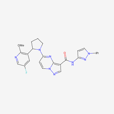 COc1ncc(F)cc1C1CCCN1c1ccn2ncc(C(=O)Nc3ccn(C(C)C)n3)c2n1